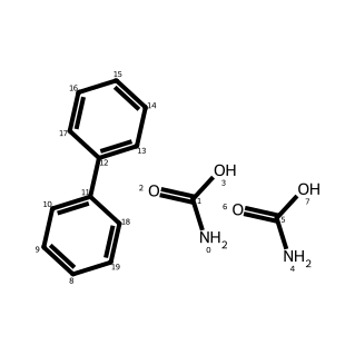 NC(=O)O.NC(=O)O.c1ccc(-c2ccccc2)cc1